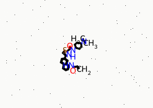 C=CC(=O)Nc1cccc2ccc(-c3csc(C(=O)NC4CCC(N(C)C)CC4)n3)cc12